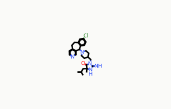 CC(C)CC1(C)NC(=N)N(CC2CCN(C3c4ccc(Cl)cc4CCc4ccncc43)CC2)C1=O